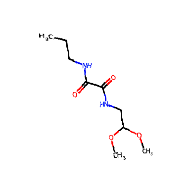 CCCNC(=O)C(=O)NCC(OC)OC